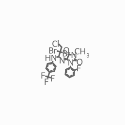 CN1C(=O)C(=NC(Nc2ccc(C(F)(F)F)cc2)C(Br)(Br)CCl)N(c2ccccc2F)C1=O